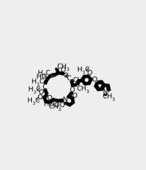 CCC1/C=C(\C)C(O)C(C)CC(OC)C2OC(O)(C(=O)C(=O)N3CCCCC3C(=O)OC(C(C)=CC3CCC(Oc4ccc5c(ccn5C)c4)C(OC)C3)C(C)CCC1=O)C(C)CC2OC